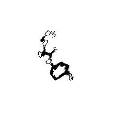 CCOC(=O)C(F)Oc1ccc(Br)cc1